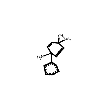 CC1(N)C=CC(N)(c2ccccc2)C=C1